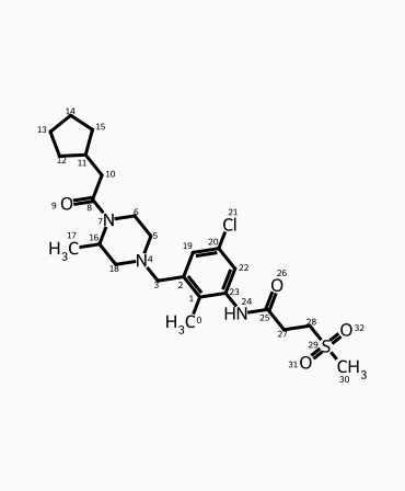 Cc1c(CN2CCN(C(=O)CC3CCCC3)C(C)C2)cc(Cl)cc1NC(=O)CCS(C)(=O)=O